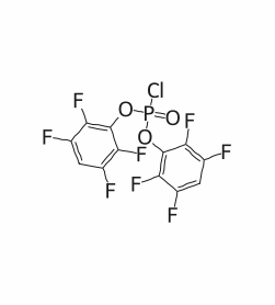 O=P(Cl)(Oc1c(F)c(F)cc(F)c1F)Oc1c(F)c(F)cc(F)c1F